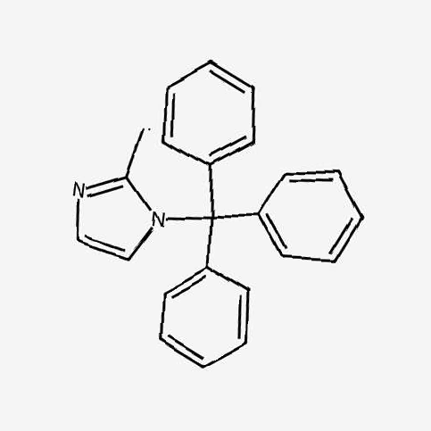 [CH2]c1nccn1C(c1ccccc1)(c1ccccc1)c1ccccc1